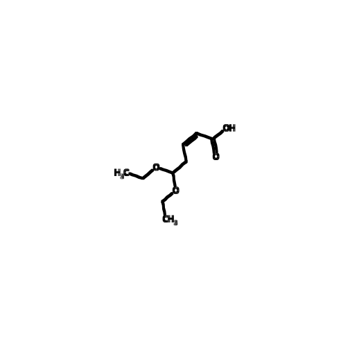 CCOC(C/C=C\C(=O)O)OCC